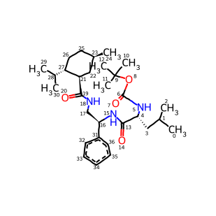 CC(C)C[C@@H](NC(=O)OC(C)(C)C)C(=O)N[C@H](CNC(=O)[C@@H]1C[C@H](C)CC[C@H]1C(C)C)c1ccccc1